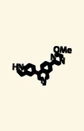 COc1cncc(-c2ccc3c(c2)CN(C)CC3c2ccc3[nH]ccc3c2)n1